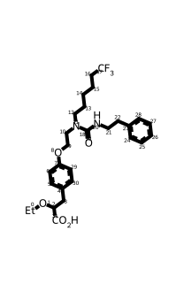 CCOC(Cc1ccc(OCCN(CCCCCC(F)(F)F)C(=O)NCCc2ccccc2)cc1)C(=O)O